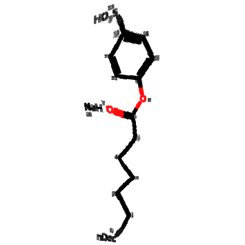 CCCCCCCCCCCCCCCC(=O)Oc1ccc(S(=O)(=O)O)cc1.[NaH]